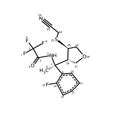 C[C@@](NC(=O)C(F)(F)F)(c1ccccc1F)[C@H]1COC[C@@H]1SCC#N